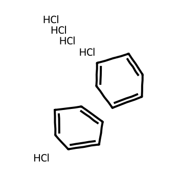 Cl.Cl.Cl.Cl.Cl.c1ccccc1.c1ccccc1